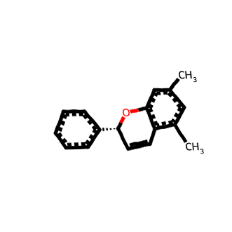 Cc1cc(C)c2c(c1)O[C@@H](c1ccccc1)C=C2